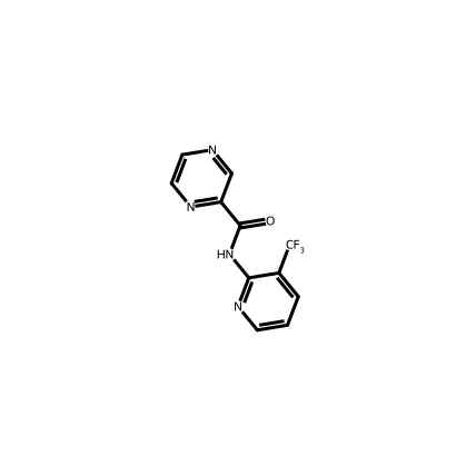 O=C(Nc1ncccc1C(F)(F)F)c1cnccn1